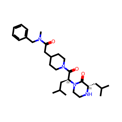 CC(C)C[C@@H]1NCCN([C@@H](CC(C)C)C(=O)N2CCC(CC(=O)N(C)Cc3ccccc3)CC2)C1=O